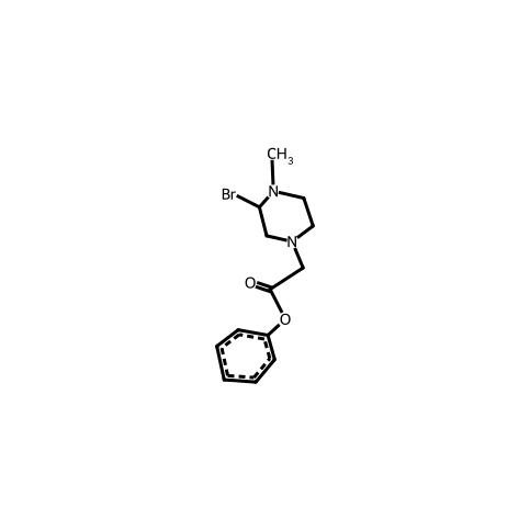 CN1CCN(CC(=O)Oc2ccccc2)CC1Br